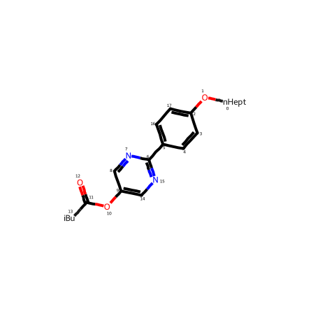 CCCCCCCOc1ccc(-c2ncc(OC(=O)C(C)CC)cn2)cc1